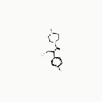 CN1CCN(C(=O)C(CN)c2ccc(F)cc2)CC1